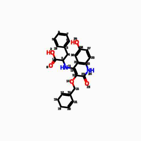 O=C(O)C(Cc1ccccc1)Nc1c(OCC2=CCCC=C2)c(=O)[nH]c2ccc(O)cc12